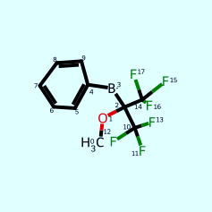 COC([B]c1ccccc1)(C(F)(F)F)C(F)(F)F